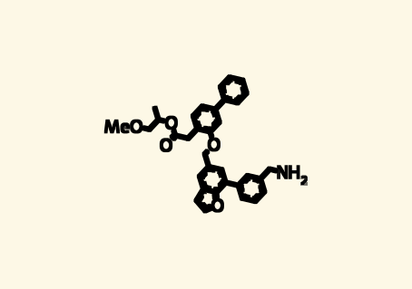 COCC(C)OC(=O)Cc1ccc(-c2ccccc2)cc1OCc1cc(-c2cccc(CN)c2)c2occc2c1